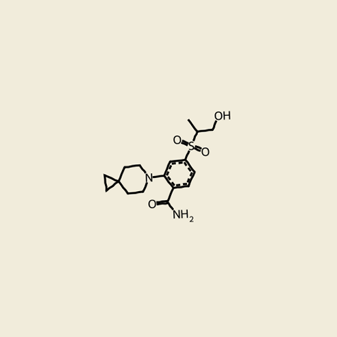 CC(CO)S(=O)(=O)c1ccc(C(N)=O)c(N2CCC3(CC2)CC3)c1